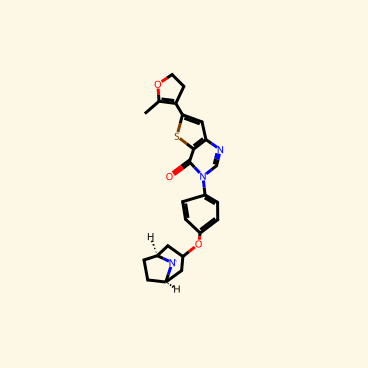 CC1=C(c2cc3ncn(-c4ccc(OC5C[C@H]6CC[C@@H](C5)N6C)cc4)c(=O)c3s2)CCO1